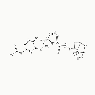 O=C(O)Oc1ccc(=O)n(Cc2cn3c(C(=O)NCC45CC6CC(CC(C6)C4)C5)cccc3n2)c1